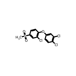 CS(=O)(=O)c1ccc(Oc2ccc(Cl)c(Cl)c2)c(Cl)c1